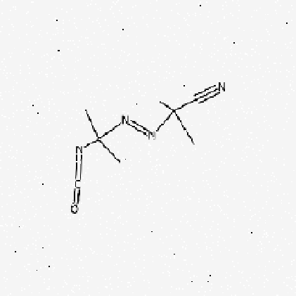 CC(C)(C#N)N=NC(C)(C)N=C=O